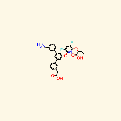 CCC(Oc1nc(Oc2cc(-c3cccc(CN)c3)cc(-c3cccc(CC(=O)O)c3)c2)c(F)cc1F)C(=O)O